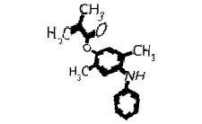 C=C(C)C(=O)Oc1cc(C)c(Nc2ccccc2)cc1C